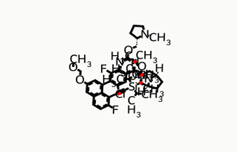 COCOc1cc(-c2c(Cl)cc3c(N4C[C@H]5CC[C@@H](C4)N5C(=O)OC(C)(C)C)nc(OC[C@@H]4CCCN4C)nc3c2F)c2c(C#C[Si](C(C)C)(C(C)C)C(C)C)c(F)ccc2c1